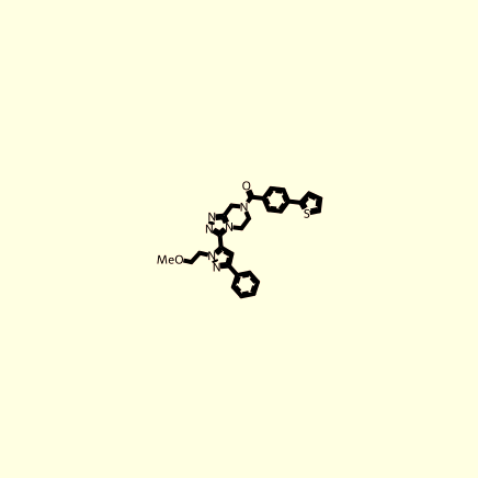 COCCn1nc(-c2ccccc2)cc1-c1nnc2n1CCN(C(=O)c1ccc(-c3cccs3)cc1)C2